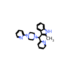 Cc1[nH]c2ccccc2c1C(c1ccccn1)N1CCN(c2ccccn2)CC1